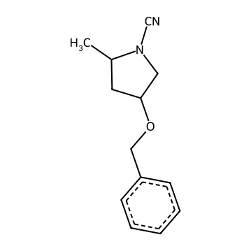 CC1CC(OCc2ccccc2)CN1C#N